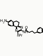 CCCc1nc2c(nc1NC(=O)CCCc1ccccc1)CCc1cc(N)ccc1-2